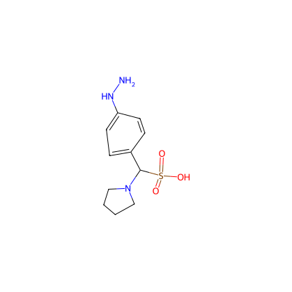 NNc1ccc(C(N2CCCC2)S(=O)(=O)O)cc1